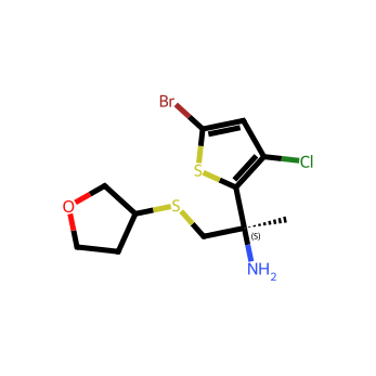 C[C@](N)(CSC1CCOC1)c1sc(Br)cc1Cl